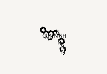 CN1CCN(c2ccc(Nc3ncc4c(n3)N3CCN=C3C(c3ccccc3Cl)=C4)cn2)CC1